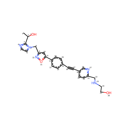 CC(O)c1nccn1Cc1cc(-c2ccc(C#Cc3ccc(CNCCO)nc3)cc2)on1